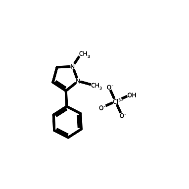 CN1CC=C(c2ccccc2)N1C.[O-][Cl+3]([O-])([O-])O